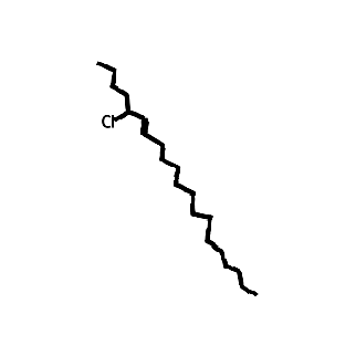 CCCCCCCCCCCCCC=CC(Cl)CCCC